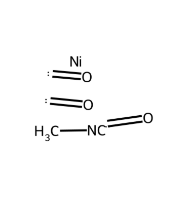 [C-]#[N+]C.[C]=O.[C]=O.[C]=O.[Ni]